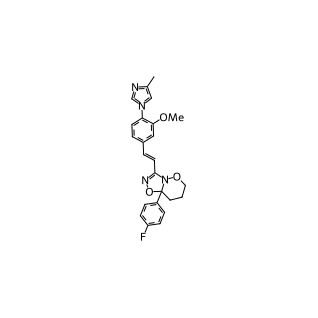 COc1cc(/C=C/C2=NOC3(c4ccc(F)cc4)CCCON23)ccc1-n1cnc(C)c1